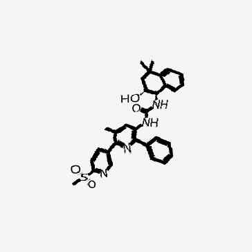 Cc1cc(NC(=O)N[C@@H]2c3ccccc3C(C)(C)C[C@H]2O)c(-c2ccccc2)nc1-c1ccc(S(C)(=O)=O)nc1